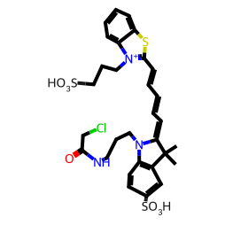 CC1(C)/C(=C/C=C/C=C/c2sc3ccccc3[n+]2CCCS(=O)(=O)O)N(CCCNC(=O)CCl)c2ccc(S(=O)(=O)O)cc21